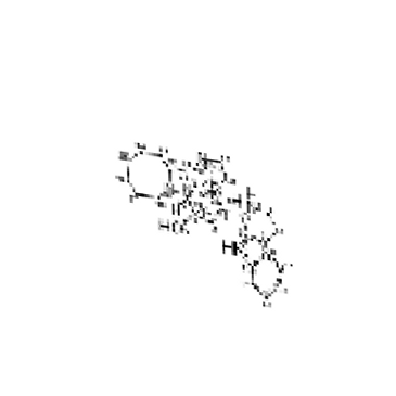 O[C@]12C=C(C3NCCc4c3[nH]c3ccccc43)[C@@H]3CCN(CCCC/C=C\CC1)C[C@@]31CC3/C=C\CCCCN3[C@H]12